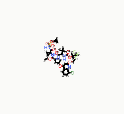 CCOc1cc(O[C@@H]2C[C@@H](C(=O)N[C@]3(C(=O)NS(=O)(=O)OC4CC4)C[C@H]3CC)N(C(=O)[C@@H](NC(=O)OC(C)(C)C(F)(F)F)C(C)(C)C)C2)c2cccc(Cl)c2n1